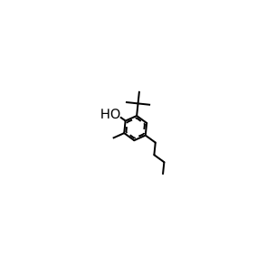 CCCCc1cc(C)c(O)c(C(C)(C)C)c1